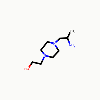 CC(N)CN1CCN(CCO)CC1